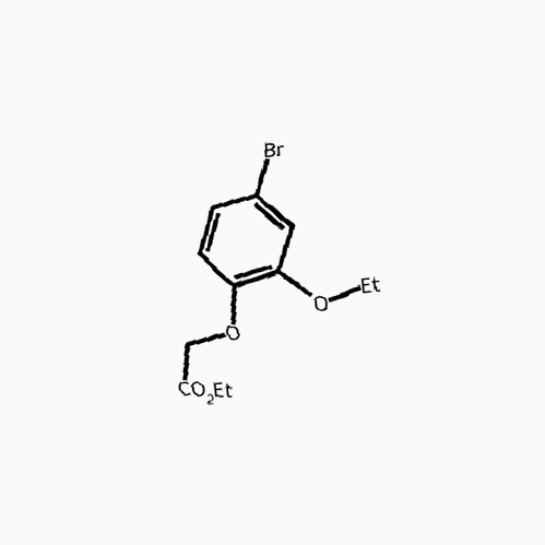 CCOC(=O)COc1ccc(Br)cc1OCC